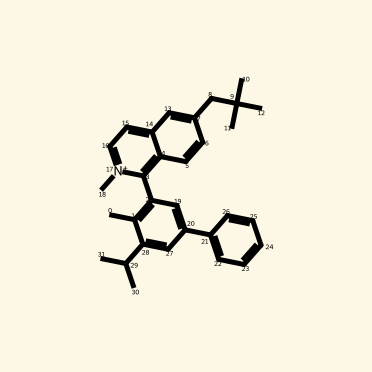 Cc1c(-c2c3ccc(CC(C)(C)C)cc3cc[n+]2C)cc(-c2ccccc2)cc1C(C)C